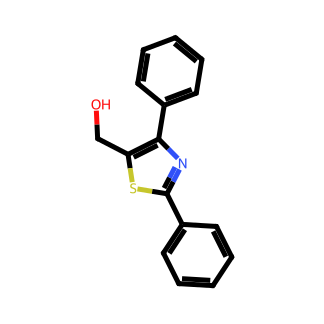 OCc1sc(-c2ccccc2)nc1-c1ccccc1